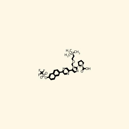 C[Si](C)(C)CCOCn1c(-c2cnc(-c3ccc4cc(OS(=O)(=O)C(F)(F)F)ccc4c3)cn2)cnc1[C@@H]1CCCN1C(=O)O